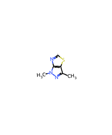 Cc1nn(C)c2n[c]sc12